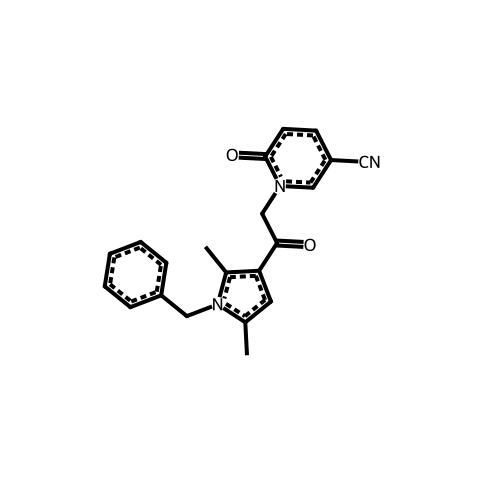 Cc1cc(C(=O)Cn2cc(C#N)ccc2=O)c(C)n1Cc1ccccc1